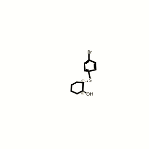 O[C@H]1CCCC[C@@H]1Sc1ccc(Br)cc1